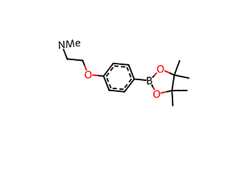 CNCCOc1ccc(B2OC(C)(C)C(C)(C)O2)cc1